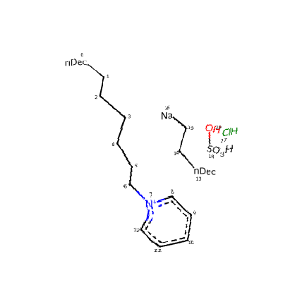 CCCCCCCCCCCCCCCC[n+]1ccccc1.CCCCCCCCCCC[CH2][Na].Cl.O=S(=O)(O)O